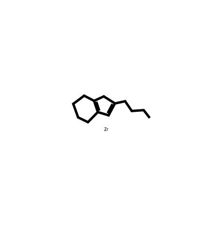 CCCCC1=CC2=C([CH]1)CCCC2.[Zr]